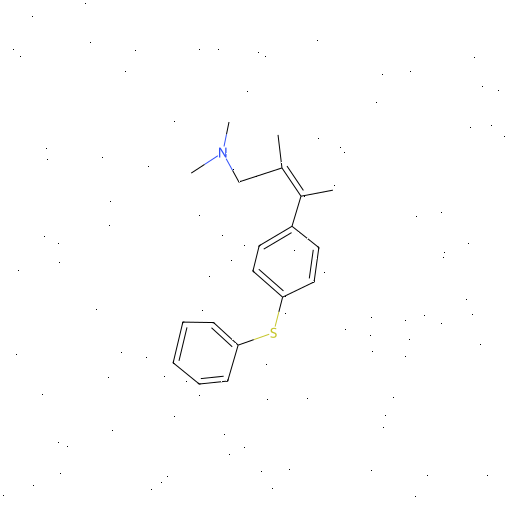 CC(CN(C)C)=C(C)c1ccc(Sc2ccccc2)cc1